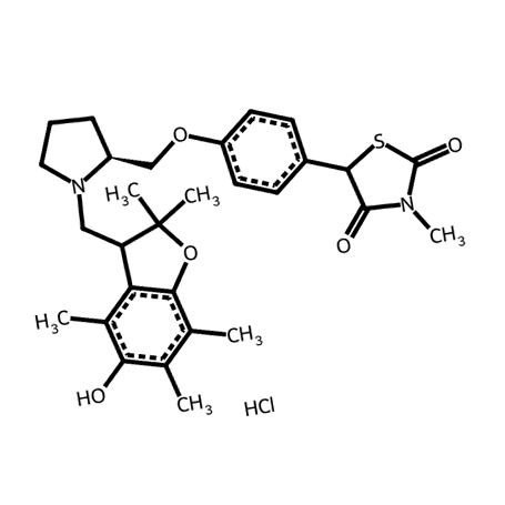 Cc1c(C)c2c(c(C)c1O)C(CN1CCC[C@H]1COc1ccc(C3SC(=O)N(C)C3=O)cc1)C(C)(C)O2.Cl